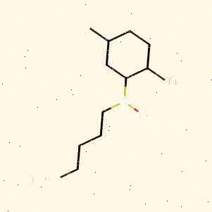 CCCCCCCCCCCCCC[S+]([O-])C1CC(C)CCC1C(C)C